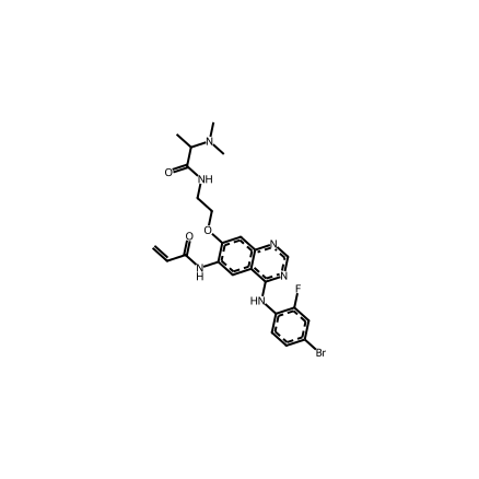 C=CC(=O)Nc1cc2c(Nc3ccc(Br)cc3F)ncnc2cc1OCCNC(=O)C(C)N(C)C